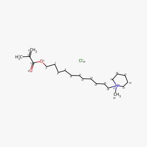 C=C(C)C(=O)OCCCCCCCCCCC[N+]1(C)CCCCC1.[Cl-]